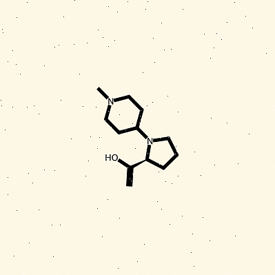 C=C(O)[C@@H]1CCCN1C1CCN(C)CC1